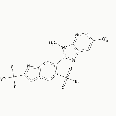 CCS(=O)(=O)c1cn2cc(C(F)(F)C(F)(F)F)nc2cc1-c1nc2cc(C(F)(F)F)cnc2n1C